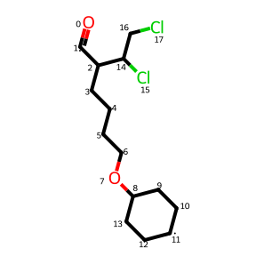 O=[C]C(CCCCOC1CC[CH]CC1)C(Cl)CCl